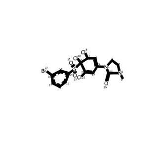 CN1CCN(C2=CC(Cl)C(Cl)(S(=O)(=O)c3cccc(Br)c3)C(Cl)=C2)C1=O